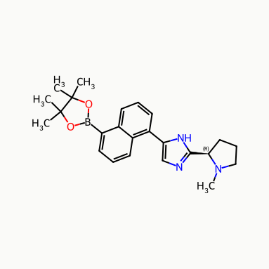 CN1CCC[C@@H]1c1ncc(-c2cccc3c(B4OC(C)(C)C(C)(C)O4)cccc23)[nH]1